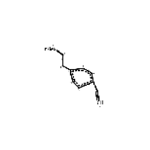 [CH]=Cc1ccc(CCCCCCCC)cc1